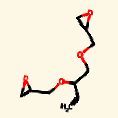 C=CC(COCC1CO1)OCC1CO1